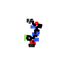 CC(C)(C)OC(=O)N[C@H](c1cn2ncc([C@H](NC(=O)CCC(F)(F)F)C3CCC3)cc2n1)C1CCC(F)(F)CC1